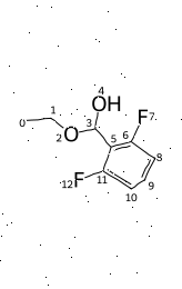 CCOC(O)c1c(F)cccc1F